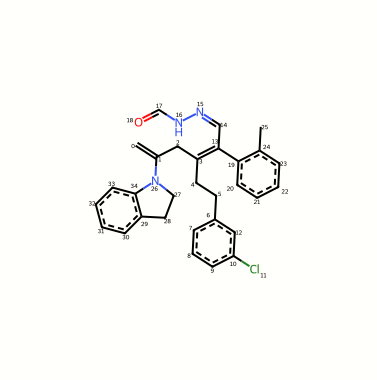 C=C(C/C(CCc1cccc(Cl)c1)=C(\C=N/NC=O)c1ccccc1C)N1CCc2ccccc21